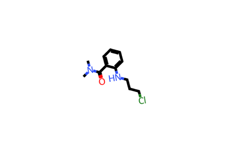 CN(C)C(=O)c1ccccc1NCCCCl